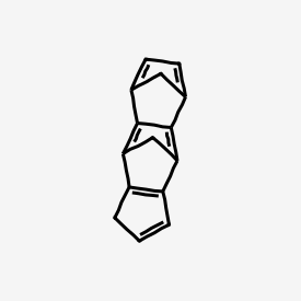 C1=CC2=C(C1)C1=C3C4=CC=C(C4)C3=C2C1